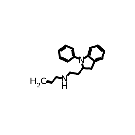 C=CCNCCC1Cc2ccccc2N1c1ccccc1